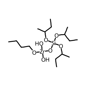 CCCC[O][Zr]([OH])([OH])[O][Si](OC(C)CC)(OC(C)CC)OC(C)CC